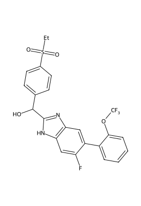 CCS(=O)(=O)c1ccc(C(O)c2nc3cc(-c4ccccc4OC(F)(F)F)c(F)cc3[nH]2)cc1